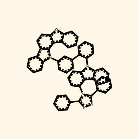 c1ccc(-c2nnc(-c3ccccc3)n2-c2cccc3c2c2ccccc2n3-c2ccccc2-c2cccc(-n3c4ccccc4c4ccc5oc6ccccc6c5c43)c2)cc1